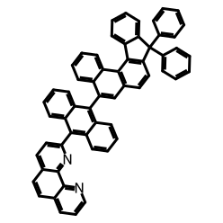 c1ccc(C2(c3ccccc3)c3ccccc3-c3c2ccc2cc(-c4c5ccccc5c(-c5ccc6ccc7cccnc7c6n5)c5ccccc45)c4ccccc4c32)cc1